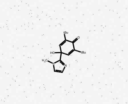 Cn1ccnc1C1(O)C=C(C(C)(C)C)C(=O)C(C(C)(C)C)=C1